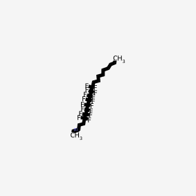 C/C=C/CCC(F)(F)C(F)(F)C(F)(F)C(F)(F)C(F)(F)C(F)(F)C(F)(F)C(F)(F)CCCCCCCCC